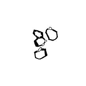 C1=Cc2ccccc2OO1.C1CCOCC1.C1CCOCC1